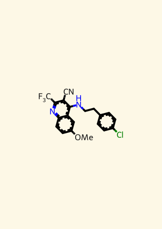 COc1ccc2nc(C(F)(F)F)c(C#N)c(NCCc3ccc(Cl)cc3)c2c1